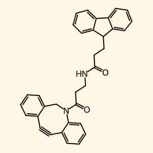 O=C(CCC1c2ccccc2-c2ccccc21)NCCC(=O)N1Cc2ccccc2C#Cc2ccccc21